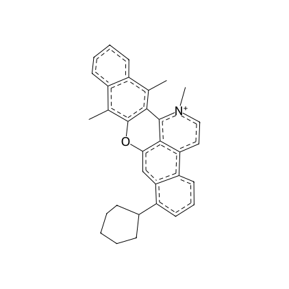 Cc1c2c(c(C)c3ccccc13)-c1c3c(cc4c(C5CCCCC5)cccc4c3cc[n+]1C)O2